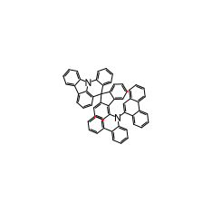 c1ccc(-c2ccccc2N(c2cccc3c2-c2ccccc2C32c3ccccc3-n3c4ccccc4c4cccc2c43)c2cc3ccccc3c3ccccc23)cc1